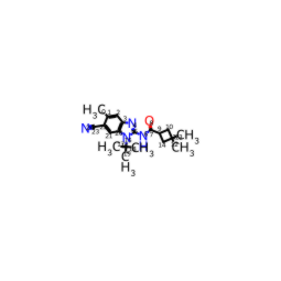 Cc1cc2nc(NC(=O)C3CC(C)(C)C3)n(C(C)(C)C)c2cc1C#N